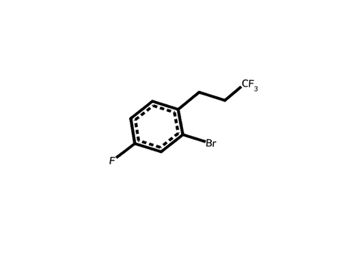 Fc1ccc(CCC(F)(F)F)c(Br)c1